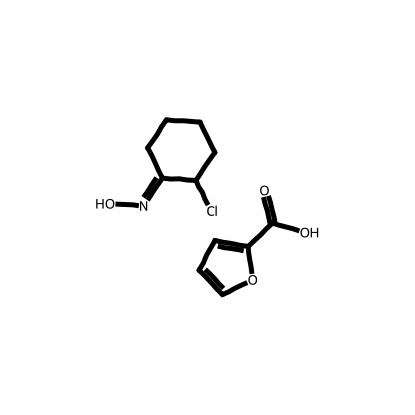 O=C(O)c1ccco1.ON=C1CCCCC1Cl